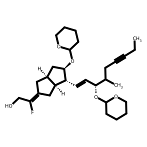 CCC#CCC(C)[C@@H](/C=C/[C@@H]1[C@H]2CC(=C(F)CO)C[C@H]2C[C@H]1OC1CCCCO1)OC1CCCCO1